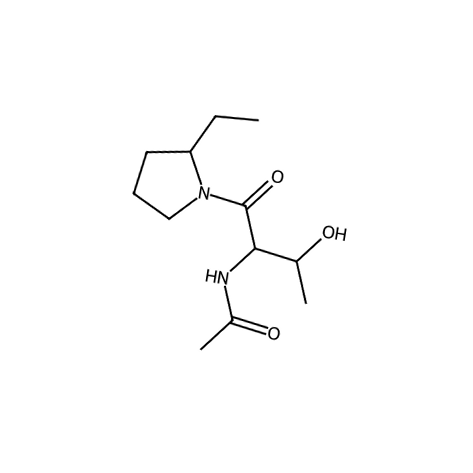 CCC1CCCN1C(=O)C(NC(C)=O)C(C)O